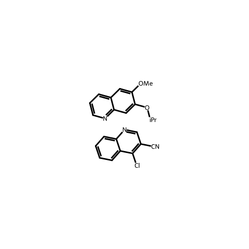 COc1cc2cccnc2cc1OC(C)C.N#Cc1cnc2ccccc2c1Cl